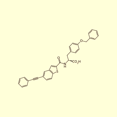 O=C(N[C@@H](Cc1ccc(OCc2ccccc2)cc1)C(=O)O)c1cc2cc(C#Cc3ccccc3)ccc2s1